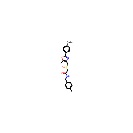 COc1ccc(-c2nc(C[S+]([O-])CC(=O)NCc3ccc(C)cc3)c(C)o2)cc1